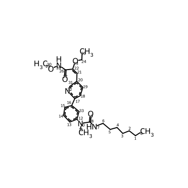 CCCCCCCNC(=O)N(C)c1cccc(-c2ccc(/C=C(/OCC)C(=O)NOC)cn2)c1